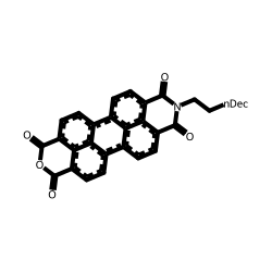 CCCCCCCCCCCCN1C(=O)c2ccc3c4ccc5c6c(ccc(c7ccc(c2c37)C1=O)c64)C(=O)OC5=O